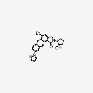 CCc1cc2c(cc1Cc1ccc(-n3cccn3)cc1F)C(=O)N([C@H]1CCC[C@@H]1O)C2